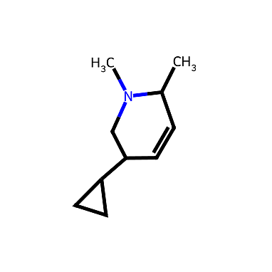 CC1C=CC(C2CC2)CN1C